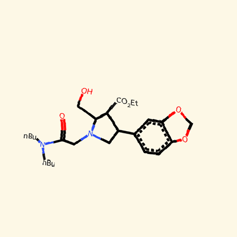 CCCCN(CCCC)C(=O)CN1CC(c2ccc3c(c2)OCO3)C(C(=O)OCC)C1CO